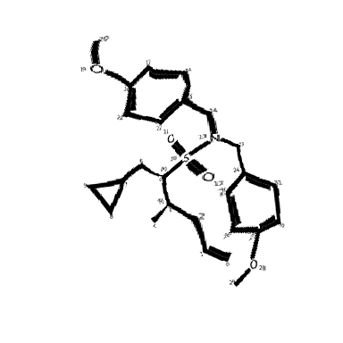 C=CC[C@@H](C)[C@@H](CC1CC1)S(=O)(=O)N(Cc1ccc(OC)cc1)Cc1ccc(OC)cc1